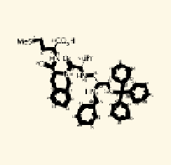 CSCC[C@H](NC(=O)[C@@H]1Cc2ccccc2CN1C(=O)[C@@H](NC[C@H](CSC(c1ccccc1)(c1ccccc1)c1ccccc1)NCc1ccccc1)C(C)C)C(=O)O